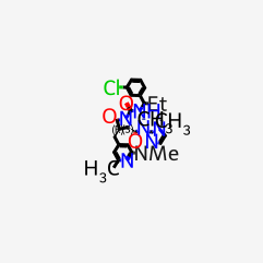 CCC(NC(=O)N1C(=O)[C@H](Cc2cc(C)nc(NC)c2)[C@H]1C(=O)N(C)c1nccn1C)c1cccc(Cl)c1